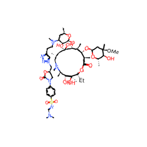 CC[C@H]1OC(=O)[C@H](C)[C@@H](O[C@H]2C[C@@](C)(OC)[C@@H](O)[C@H](C)O2)[C@H](C)[C@@H](O[C@@H]2O[C@H](C)C[C@H](N(C)CCc3cn(C[C@H]4CN(c5ccc(S(=O)(=O)/N=C/N(C)C)cc5)C(=O)O4)nn3)[C@H]2O)[C@](C)(O)C[C@@H](C)CN(C)[C@H](C)[C@@H](O)[C@]1(C)O